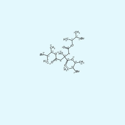 CCC(C)C(C)C(C)OC(=O)CC(O)(CC(=O)OC(C)C(C)C(C)CC)C(=O)OC(C)C(C)C(C)CC